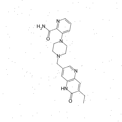 CCc1cc2ncc(CN3CCN(c4cccnc4C(N)=O)CC3)cc2[nH]c1=O